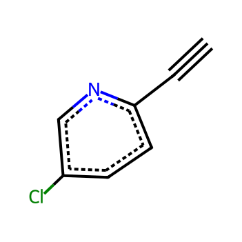 C#Cc1ccc(Cl)cn1